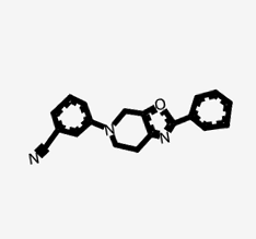 N#Cc1cccc(N2CCc3nc(-c4ccccc4)oc3C2)c1